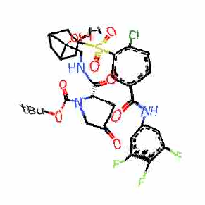 CC(C)(C)OC(=O)N1CC(=O)C[C@H]1C(=O)NC[C@]1(O)C2CC1C[C@@H](S(=O)(=O)c1cc(C(=O)Nc3cc(F)c(F)c(F)c3)ccc1Cl)C2